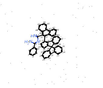 N=C(/N=C(\N)c1ccccc1)c1c(-c2cccc3c2-c2ccccc2C32c3ccccc3-c3ccccc32)c2ccccc2c2ccccc12